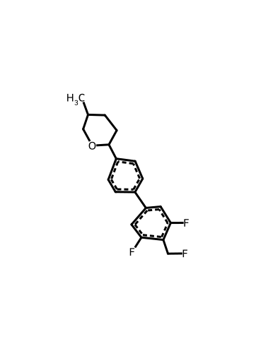 CC1CCC(c2ccc(-c3cc(F)c(CF)c(F)c3)cc2)OC1